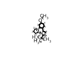 CCOc1ccc(-c2csc(C(C)(C)C)n2)c(N2CCCC2)c1